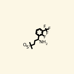 CC(C)(CC[C@@H](N)c1cccc(C(F)(F)F)c1F)[S+]=O